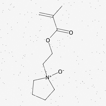 C=C(C)C(=O)OCC[N+]1([O-])CCCC1